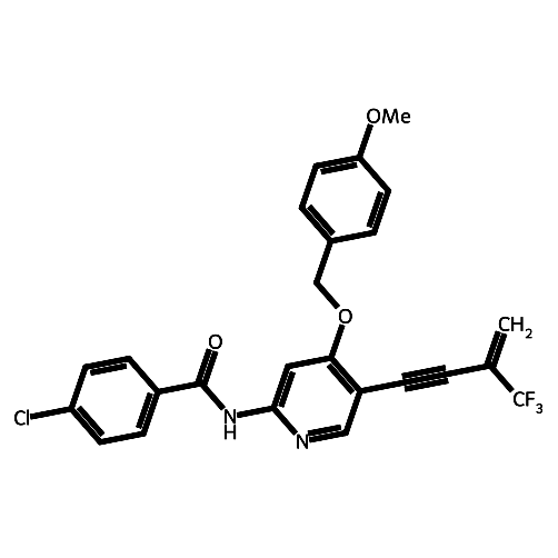 C=C(C#Cc1cnc(NC(=O)c2ccc(Cl)cc2)cc1OCc1ccc(OC)cc1)C(F)(F)F